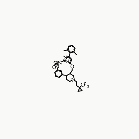 Cc1cccc(C)c1-c1cc2nc(n1)NS(=O)(=O)c1cccc(c1)C1CCN(CCC3(C(F)(F)F)CC3)CC1CO2